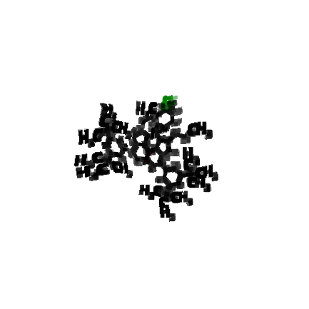 CCCC1=Cc2c(-c3cc(C(C)(C)C)cc(C(C)(C)C)c3)cccc2[CH]1[Ti+2]1([CH]2C(CCC)=Cc3c(-c4cc(C(C)(C)C)cc(C(C)(C)C)c4)cccc32)[CH]2CCCC[CH]21.[Cl-].[Cl-]